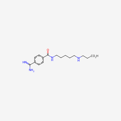 N=C(N)c1ccc(C(=O)NCCCCCNCCC(=O)O)cc1